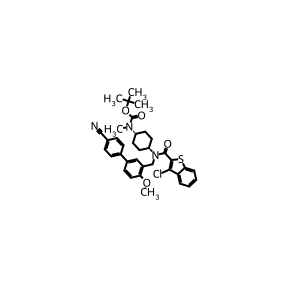 COc1ccc(-c2ccc(C#N)cc2)cc1CN(C(=O)c1sc2ccccc2c1Cl)[C@H]1CC[C@H](N(C)C(=O)OC(C)(C)C)CC1